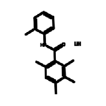 Cc1ccccc1PC(=O)c1c(C)cc(C)c(C)c1C.[LiH]